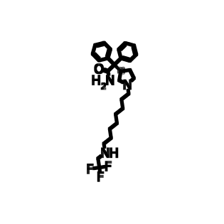 NC(=O)C(c1ccccc1)(c1ccccc1)[C@H]1CCN(CCCCCCCCNCC(F)(F)F)C1